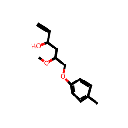 C=CC(O)CC(COc1ccc(C)cc1)OC